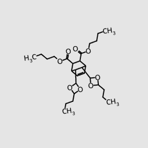 CCCCOC(=O)C1C2C=CC(C1C(=O)OCCCC)C(C1OC(CCC)O1)C2C1OC(CCC)O1